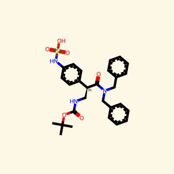 CC(C)(C)OC(=O)NC[C@H](C(=O)N(Cc1ccccc1)Cc1ccccc1)c1ccc(NS(=O)(=O)O)cc1